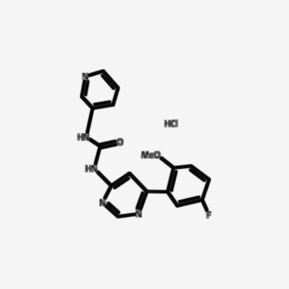 COc1ccc(F)cc1-c1cc(NC(=O)Nc2cccnc2)ncn1.Cl